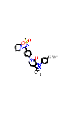 COc1ccc(-n2nc(C(F)(F)F)c3c2C(=O)N(c2ccc(C(=NS(C)(=O)=O)N4CCCCC4)cc2)CC3)cc1